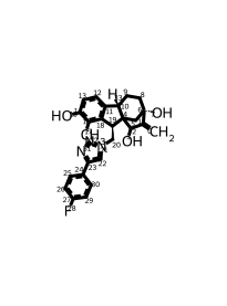 C=C1C(O)C23C[C@@]1(O)CC[C@H]2c1ccc(O)c(C)c1[C@@H]3Cn1cc(-c2ccc(F)cc2)nn1